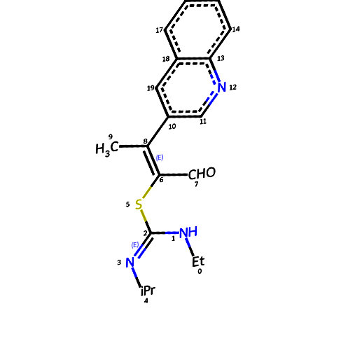 CCN/C(=N\C(C)C)S/C(C=O)=C(\C)c1cnc2ccccc2c1